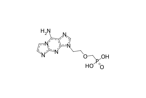 Nc1c2ncn(CCOCP(=O)(O)O)c2nc2nccn12